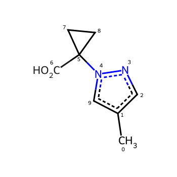 Cc1cnn(C2(C(=O)O)CC2)c1